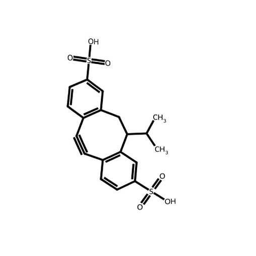 CC(C)C1Cc2cc(S(=O)(=O)O)ccc2C#Cc2ccc(S(=O)(=O)O)cc21